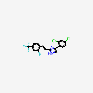 Fc1cc(C(F)(F)F)ccc1C=Cc1nc(-c2ccc(Cl)cc2Cl)c[nH]1